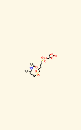 CC(=O)NCC(C)CC1C[C@H]1S(=O)(=O)CCCCCCS(=O)(=O)OCC1COC(=O)O1